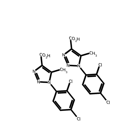 Cc1c(C(=O)O)nnn1-c1ccc(Cl)cc1Cl.Cc1c(C(=O)O)nnn1-c1ccc(Cl)cc1Cl